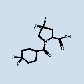 O=C(O)C1CC(F)(F)CN1C(=O)C1CCC(F)(F)CC1